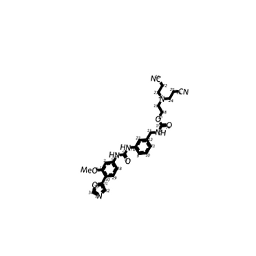 COc1cc(NC(=O)Nc2cccc(CNC(=O)OCCN(CCC#N)CCC#N)c2)ccc1-c1cnco1